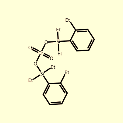 CCc1ccccc1[Si](CC)(CC)[O][Cr](=[O])(=[O])[O][Si](CC)(CC)c1ccccc1CC